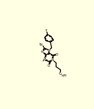 CCCOCCCn1c(=O)c2c(nc(Br)n2Cc2ccc(F)cc2)n(C)c1=O